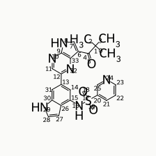 CC(C)(C)C(=O)c1c[nH]c2ncc(-c3cc(NS(=O)(=O)c4cccnc4)c4cc[nH]c4c3)nc12